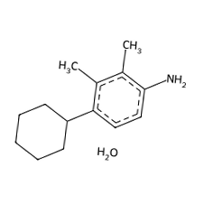 Cc1c(N)ccc(C2CCCCC2)c1C.O